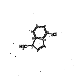 CC1C=Cc2c(Cl)cccc21